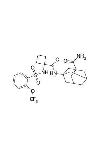 NC(=O)C12CC3CC(CC(NC(=O)C4(NS(=O)(=O)c5ccccc5OC(F)(F)F)CCC4)(C3)C1)C2